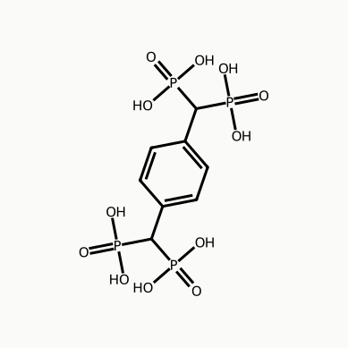 O=P(O)(O)C(c1ccc(C(P(=O)(O)O)P(=O)(O)O)cc1)P(=O)(O)O